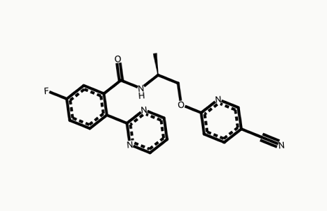 C[C@@H](COc1ccc(C#N)cn1)NC(=O)c1cc(F)ccc1-c1ncccn1